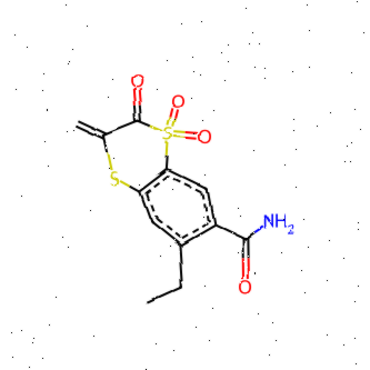 C=C1Sc2cc(CC)c(C(N)=O)cc2S(=O)(=O)C1=O